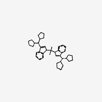 CC(C)(C1C=C(C(C2CCCC2)C2CCCC2)c2ccccc21)C1C=C(C(C2CCCC2)C2CCCC2)c2ccccc21